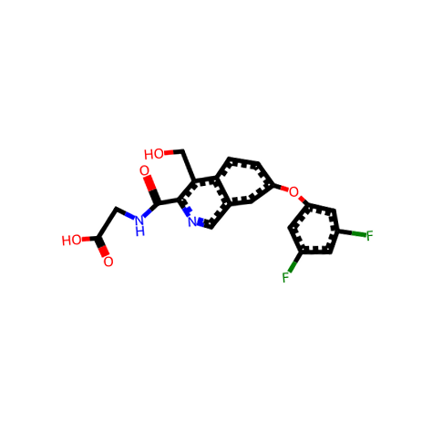 O=C(O)CNC(=O)c1ncc2cc(Oc3cc(F)cc(F)c3)ccc2c1CO